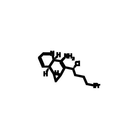 CC(C)CCC[C@@H](Cl)C1=C(N)[C@@H]2N=CC=C[C@@H]2C2C[C@H]12